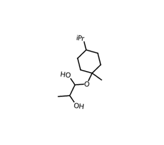 CC(C)C1CCC(C)(OC(O)C(C)O)CC1